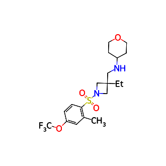 CCC1(CNC2CCOCC2)CN(S(=O)(=O)c2ccc(OC(F)(F)F)cc2C)C1